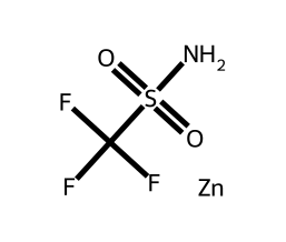 NS(=O)(=O)C(F)(F)F.[Zn]